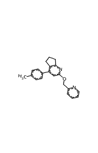 Cc1ccc(-c2cc(OCc3ccccn3)nc3c2CCC3)cc1